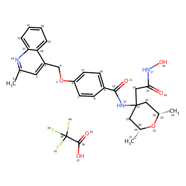 Cc1cc(COc2ccc(C(=O)NC3(CC(=O)NO)C[C@@H](C)O[C@@H](C)C3)cc2)c2ccccc2n1.O=C(O)C(F)(F)F